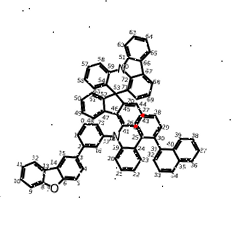 c1cc(-c2ccc3oc4ccccc4c3c2)cc(N(c2ccccc2-c2ccccc2-c2cccc3ccccc23)c2cccc3c2-c2ccccc2C32c3ccccc3-n3c4ccccc4c4cccc2c43)c1